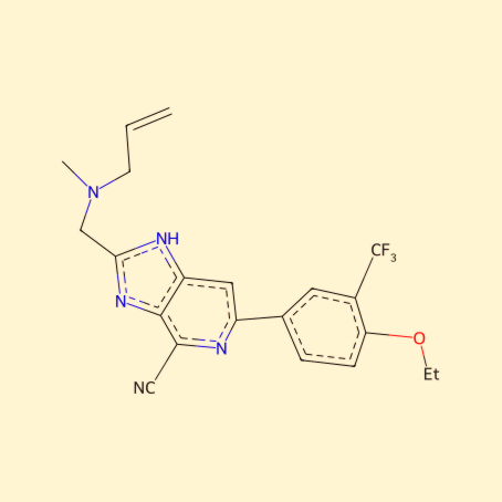 C=CCN(C)Cc1nc2c(C#N)nc(-c3ccc(OCC)c(C(F)(F)F)c3)cc2[nH]1